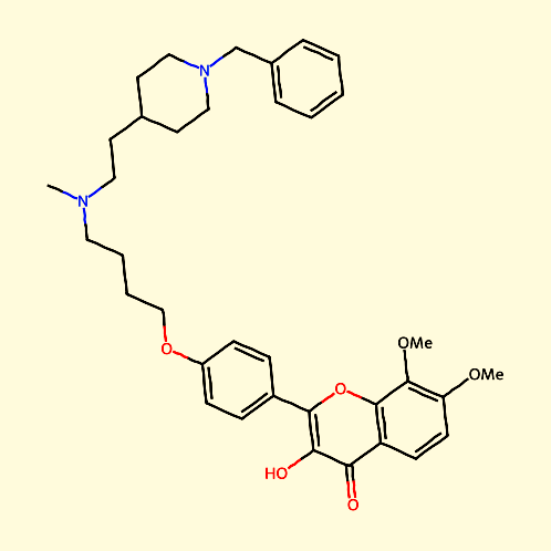 COc1ccc2c(=O)c(O)c(-c3ccc(OCCCCN(C)CCC4CCN(Cc5ccccc5)CC4)cc3)oc2c1OC